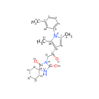 Cc1cccc(-n2c(C)cc(C(=O)CN3C(=O)NC4(CCCCC4)C3=O)c2C)c1